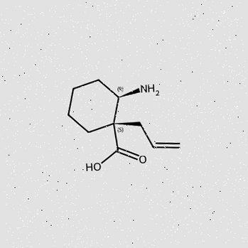 C=CC[C@@]1(C(=O)O)CCCC[C@H]1N